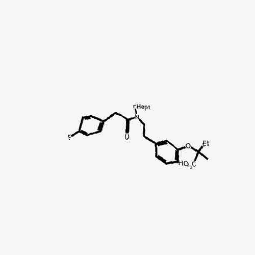 CCCCCCCN(CCc1cccc(OC(C)(CC)C(=O)O)c1)C(=O)Cc1ccc(F)cc1